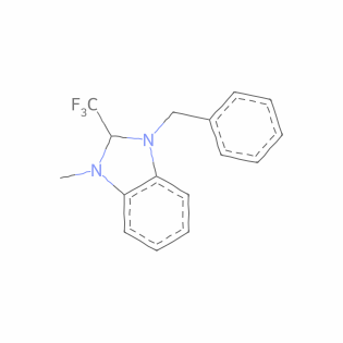 CN1c2ccccc2N(Cc2ccccc2)C1C(F)(F)F